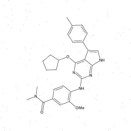 COc1cc(C(=O)N(C)C)ccc1Nc1nc(OC2CCCC2)c2c(-c3ccc(C)cc3)c[nH]c2n1